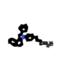 O=C(O)CCCc1ccc(-n2c(-c3ccccc3)cc3c4ccccc4ccc32)cc1